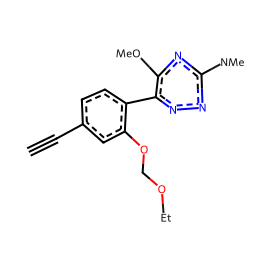 C#Cc1ccc(-c2nnc(NC)nc2OC)c(OCOCC)c1